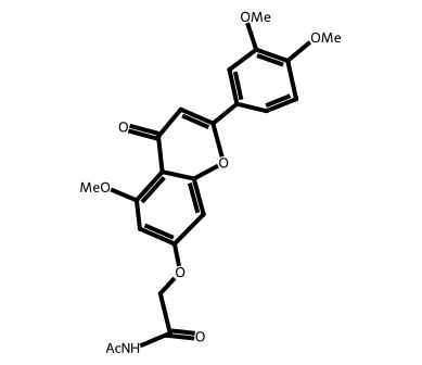 COc1ccc(-c2cc(=O)c3c(OC)cc(OCC(=O)NC(C)=O)cc3o2)cc1OC